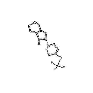 FC(F)(F)Oc1ccc(-c2nc3ccccc3[nH]2)cc1